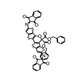 O=C(OCc1ccccc1)C1(C(=O)OCc2ccccc2)Oc2c(sc3cc(N=c4c(=O)c5ccccc5c4=O)sc23)-c2sc3cc(N=c4c(=O)c5ccccc5c4=O)sc3c21